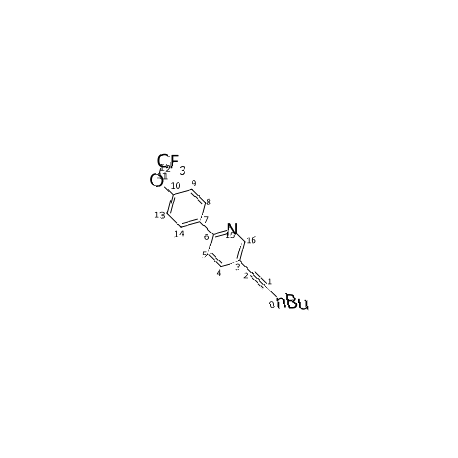 CCCCC#Cc1ccc(-c2ccc(OC(F)(F)F)cc2)nc1